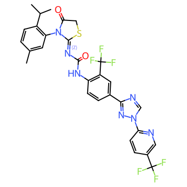 Cc1ccc(C(C)C)c(N2C(=O)CS/C2=N\C(=O)Nc2ccc(-c3ncn(-c4ccc(C(F)(F)F)cn4)n3)cc2C(F)(F)F)c1